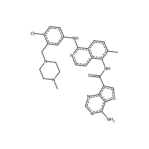 Cc1ccc2c(Nc3ccc(Cl)c(CN4CCN(C)CC4)c3)nccc2c1NC(=O)c1csc2c(N)ncnc12